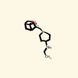 CCNC1CCN(CC2=CCC3CC2C3(C)C)CC1